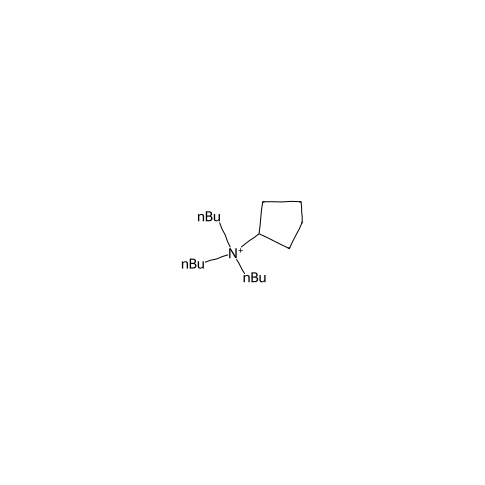 CCCC[N+](CCCC)(CCCC)C1CCCC1